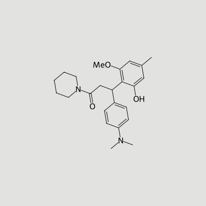 COc1cc(C)cc(O)c1C(CC(=O)N1CCCCC1)c1ccc(N(C)C)cc1